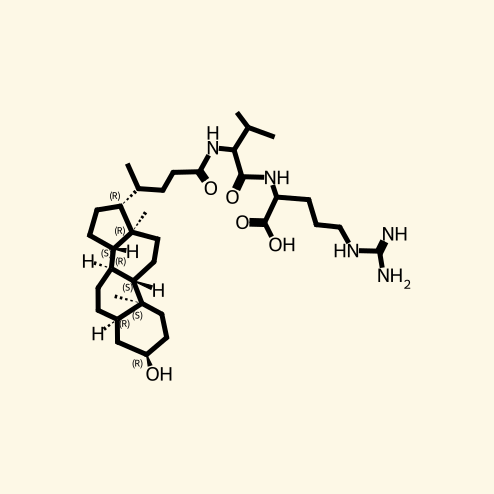 CC(C)C(NC(=O)CCC(C)[C@H]1CC[C@H]2[C@@H]3CC[C@@H]4C[C@H](O)CC[C@]4(C)[C@H]3CC[C@]12C)C(=O)NC(CCCNC(=N)N)C(=O)O